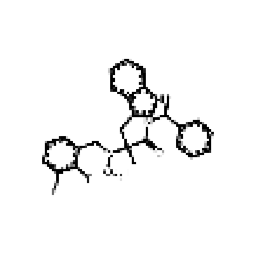 CC(NC(=O)C(C)(Cc1c[nH]c2ccccc12)N(Cc1cccc(F)c1F)C(=O)O)c1ccccc1